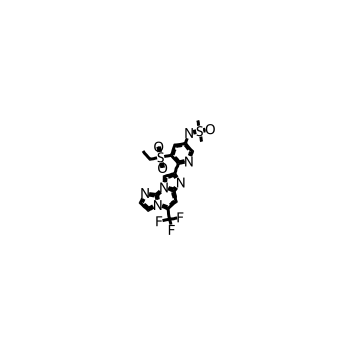 CCS(=O)(=O)c1cc(N=S(C)(C)=O)cnc1-c1cn2c(cc(C(F)(F)F)n3ccnc32)n1